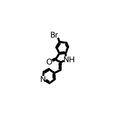 O=C1C(=Cc2ccncc2)Nc2ccc(Br)cc21